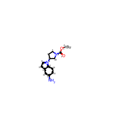 CC(C)(C)OC(=O)N1CCC(n2ccc3cc(N)ccc32)C1